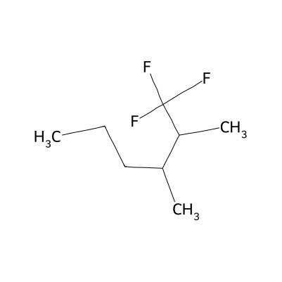 CCCC(C)C(C)C(F)(F)F